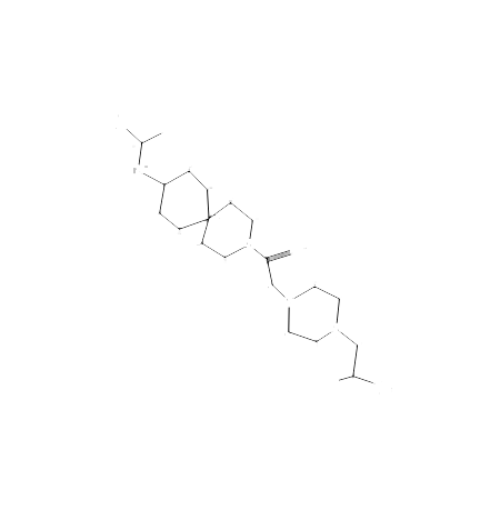 CC(C)CN1CCN(CC(=O)N2CCC3(CCC(NC(C)C)CC3)CC2)CC1